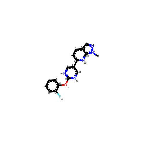 Cn1ncc2ccc(-c3cnc(Oc4ccccc4F)nc3)nc21